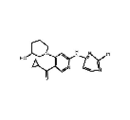 O=C(c1cnc(Nc2ccnc(Cl)n2)cc1N1CCC[C@H](O)C1)C1CC1